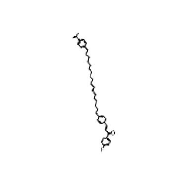 C=C(C)c1ccc(CCCCCCCCCCCCCCCCCCc2ccc(C=CC(=O)c3ccc(F)cc3)cc2)cc1